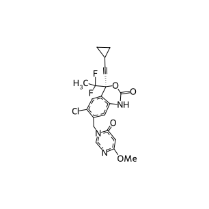 COc1cc(=O)n(Cc2cc3c(cc2Cl)[C@@](C#CC2CC2)(C(C)(F)F)OC(=O)N3)cn1